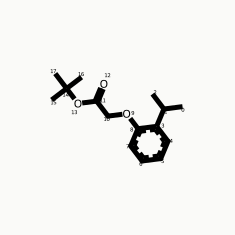 CC(C)c1ccccc1OCC(=O)OC(C)(C)C